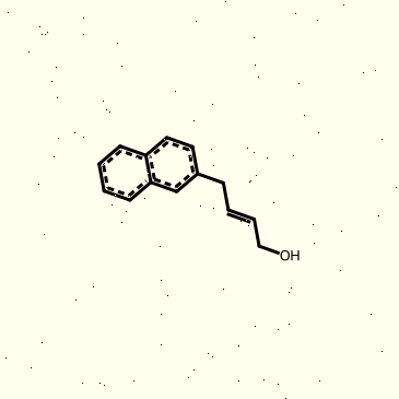 OC/C=C/Cc1ccc2ccccc2c1